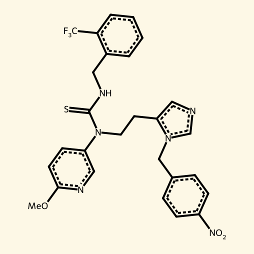 COc1ccc(N(CCc2cncn2Cc2ccc([N+](=O)[O-])cc2)C(=S)NCc2ccccc2C(F)(F)F)cn1